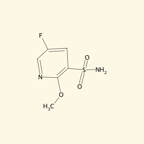 COc1ncc(F)cc1S(N)(=O)=O